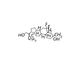 C[C@@]1(O)CC[C@@H]2[C@H]3CC[C@]4(C)[C@@H](C(=O)CO)CC[C@H]4[C@@H]3CC(F)(F)[C@@H]2C1